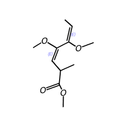 C/C=C(OC)\C(=C/C(C)C(=O)OC)OC